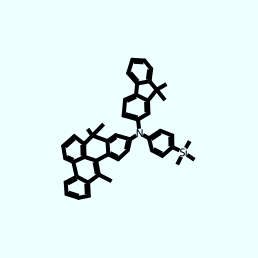 Cc1c2c3c(cccc3c3ccccc13)C(C)(C)c1cc(N(c3ccc([Si](C)(C)C)cc3)c3ccc4c(c3)C(C)(C)c3ccccc3-4)ccc1-2